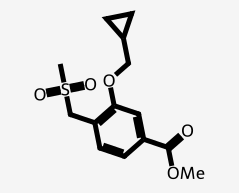 COC(=O)c1ccc(CS(C)(=O)=O)c(OCC2CC2)c1